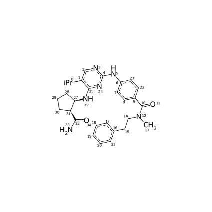 CC(C)c1cnc(Nc2ccc(C(=O)N(C)CCc3ccccc3)cc2)nc1N[C@@H]1CCC[C@@H]1C(N)=O